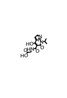 CC(C)n1c(=O)c(C(=O)NCC(=O)O)c(O)c2ccnn21